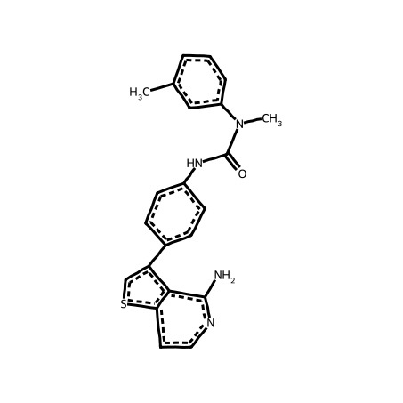 Cc1cccc(N(C)C(=O)Nc2ccc(-c3csc4ccnc(N)c34)cc2)c1